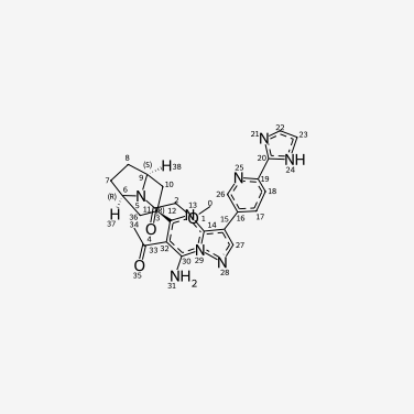 COCC(=O)N1[C@@H]2CC[C@H]1C[C@@H](c1nc3c(-c4ccc(-c5ncc[nH]5)nc4)cnn3c(N)c1C(C)=O)C2